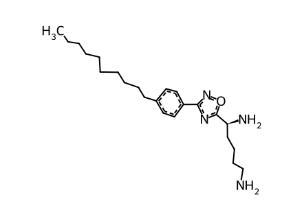 CCCCCCCCCCc1ccc(-c2noc([C@@H](N)CCCCN)n2)cc1